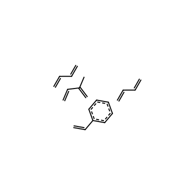 C=CC(=C)C.C=CC=C.C=CC=C.C=Cc1ccccc1